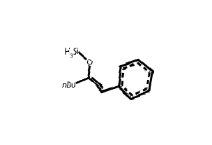 CCCCC(=Cc1ccccc1)O[SiH3]